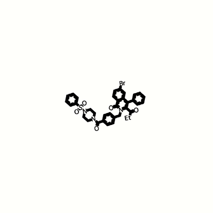 CCC(=O)c1c(-c2ccccc2)c2cc(Br)ccc2c(=O)n1Cc1ccc(C(=O)N2CCN(S(=O)(=O)c3ccccc3)CC2)cc1